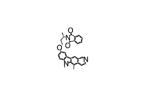 Cc1c2ccncc2cc2c3cc(OCC[C@@H](C)N4C(=O)c5ccccc5C4=O)ccc3n(C)c12